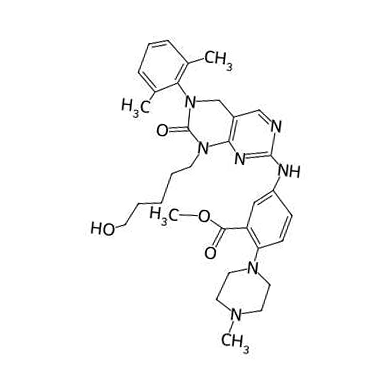 COC(=O)c1cc(Nc2ncc3c(n2)N(CCCCCO)C(=O)N(c2c(C)cccc2C)C3)ccc1N1CCN(C)CC1